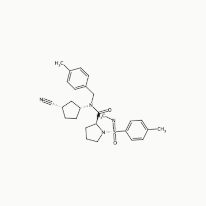 CN=[S@](=O)(c1ccc(C)cc1)N1CCC[C@H]1C(=O)N(Cc1ccc(C)cc1)[C@@H]1CC[C@H](C#N)C1